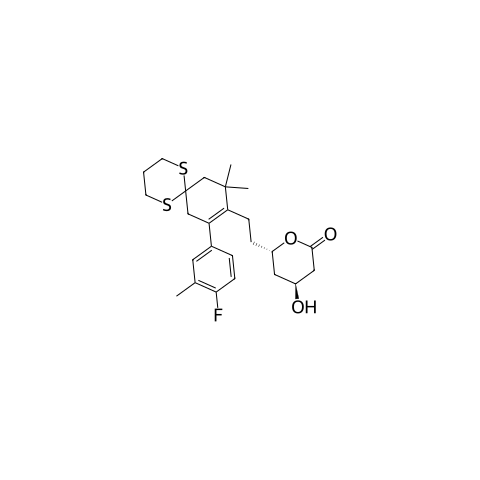 Cc1cc(C2=C(CC[C@H]3C[C@H](O)CC(=O)O3)C(C)(C)CC3(C2)SCCCS3)ccc1F